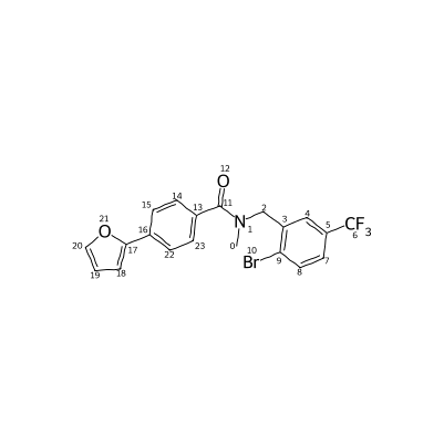 CN(Cc1cc(C(F)(F)F)ccc1Br)C(=O)c1ccc(-c2ccco2)cc1